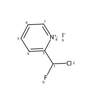 FC(Cl)C1=CC=CC=[N+]1.[I-]